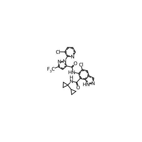 O=C(NC1(C2CC2)CC1)c1c(NC(=O)c2cc(C(F)(F)F)nn2-c2ncccc2Cl)c(Cl)cc2cn[nH]c12